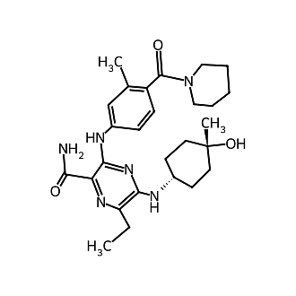 CCc1nc(C(N)=O)c(Nc2ccc(C(=O)N3CCCCC3)c(C)c2)nc1N[C@H]1CC[C@@](C)(O)CC1